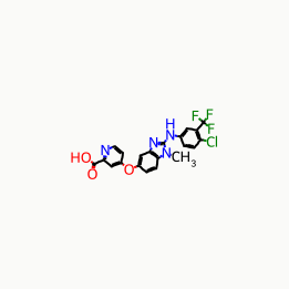 Cn1c(Nc2ccc(Cl)c(C(F)(F)F)c2)nc2cc(Oc3ccnc(C(=O)O)c3)ccc21